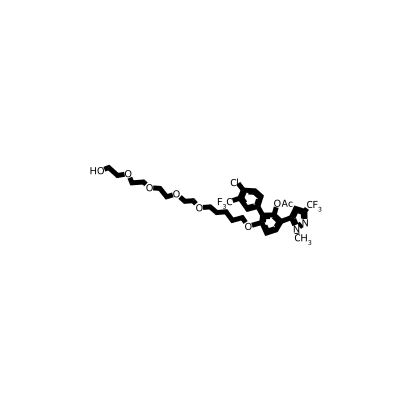 CC(=O)Oc1c(-c2cc(C(F)(F)F)nn2C)ccc(OCCCCCOCCOCCOCCOCCO)c1-c1ccc(Cl)c(C(F)(F)F)c1